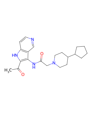 CC(=O)c1[nH]c2ccncc2c1NC(=O)CN1CCC(C2CCCC2)CC1